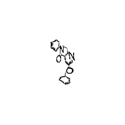 O=C1c2cc(OCc3ccccc3)cnc2CCN1c1ccccc1